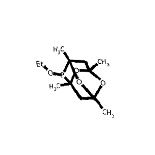 CCOP1C2(C)CC3(C)OC(C)(CC1(C)O3)O2